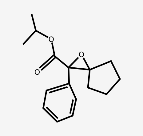 CC(C)OC(=O)C1(c2ccccc2)OC12CCCC2